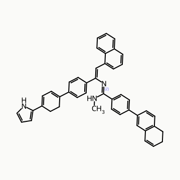 CN/C(=N\C(=Cc1cccc2ccccc12)c1ccc(C2=CC=C(c3ccc[nH]3)CC2)cc1)c1ccc(-c2ccc3c(c2)C=CCC3)cc1